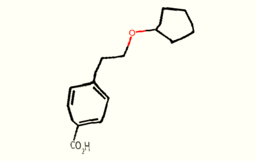 O=C(O)c1ccc(CCOC2CCCC2)cc1